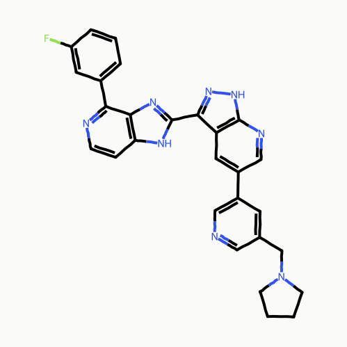 Fc1cccc(-c2nccc3[nH]c(-c4n[nH]c5ncc(-c6cncc(CN7CCCC7)c6)cc45)nc23)c1